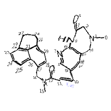 CN1CC(=O)Nc2ncc(/C=C\C(=O)N(C)Cc3ccc4c5c(cccc35)CC4)cc2C1